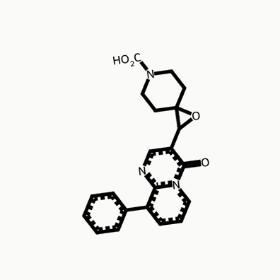 O=C(O)N1CCC2(CC1)OC2c1cnc2c(-c3ccccc3)cccn2c1=O